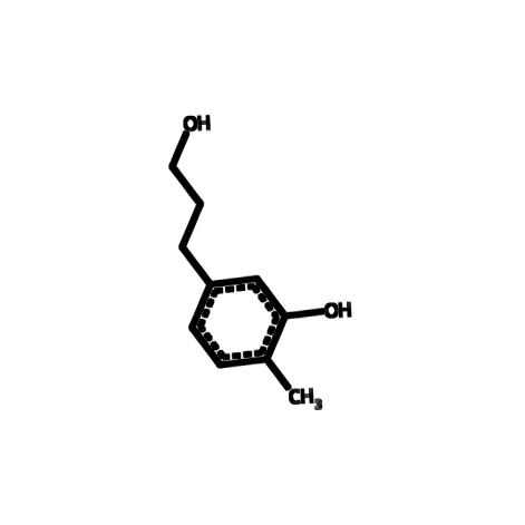 Cc1ccc(CCCO)cc1O